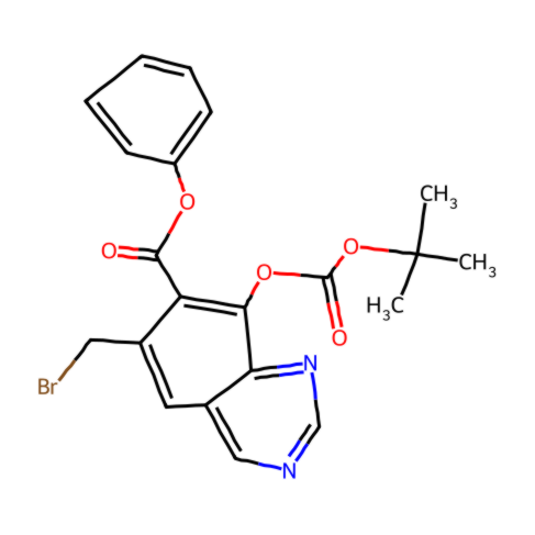 CC(C)(C)OC(=O)Oc1c(C(=O)Oc2ccccc2)c(CBr)cc2cncnc12